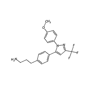 COc1ccc(-n2nc(C(F)(F)F)cc2-c2ccc(CCCN)cc2)cc1